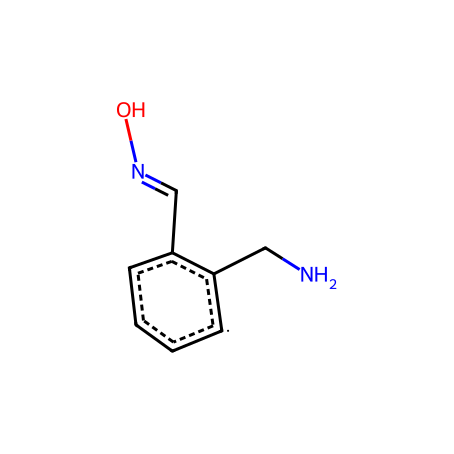 NCc1[c]cccc1C=NO